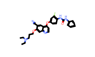 CCN(CC)CCCOc1cc2nccc(Oc3ccc(NC(=O)Nc4ccccc4)c(F)c3)c2cc1C#N